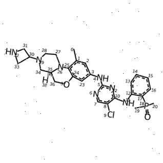 Cc1cc(Nc2ncc(Cl)c(Nc3ccccc3P(C)(C)=O)n2)cc2c1N1CCN(C3CNC3)C[C@@H]1CO2